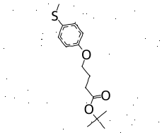 CSc1ccc(OCCCC(=O)OC(C)(C)C)cc1